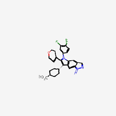 CCOC(=O)[C@H]1CC[C@H](c2c(C3CCOCC3)n(-c3ccc(F)c(F)c3)c3cc4cn[nH]c4cc32)CC1